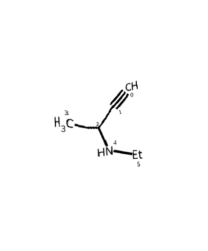 C#CC(C)NC[CH2]